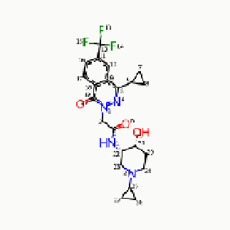 O=C(Cn1nc(C2CC2)c2cc(C(F)(F)F)ccc2c1=O)N[C@H]1CN(C2CC2)CC[C@H]1O